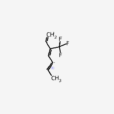 C=CC(=C/[C]=C/C)C(F)(F)F